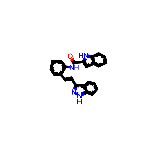 O=C(Nc1ccccc1C=Cc1n[nH]c2ccccc12)c1cc2ccccc2[nH]1